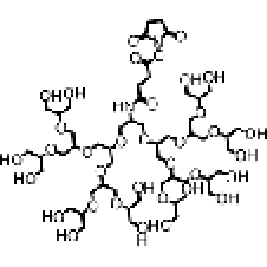 O=C(CCC(=O)ON1C(=O)CCC1=O)NC(COC(COC(COC(CO)CO)COC(CO)CO)COC(COC(CO)CO)COC(CO)CO)COC(COC(COC(CO)CO)COC(CO)CO)COC(COC(CO)CO)COC(CO)CO